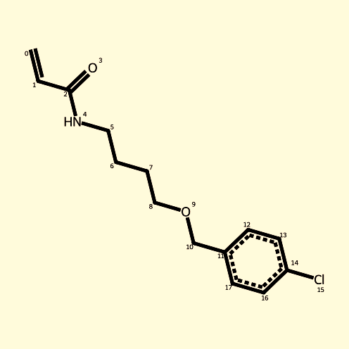 C=CC(=O)NCCCCOCc1ccc(Cl)cc1